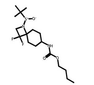 CCCCOC(=O)NC1CCC2(CC1)N([S+]([O-])C(C)(C)C)CC2(F)F